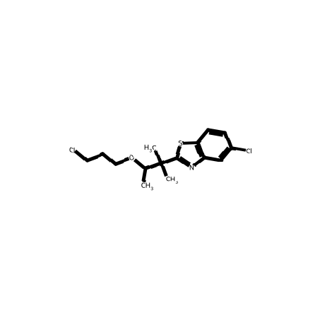 CC(OCCCCl)C(C)(C)c1nc2cc(Cl)ccc2s1